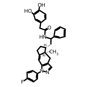 C[C@]12Cc3cnn(-c4ccc(F)cc4)c3C=C1CC[C@@H]2CC(NC(=O)Cc1ccc(O)c(O)c1)c1ccccc1